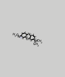 C/N=c1\ccc2nc3ccc(N(C)C)cc3oc-2c1